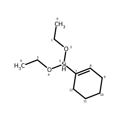 CCO[SiH](OCC)C1=CCCCC1